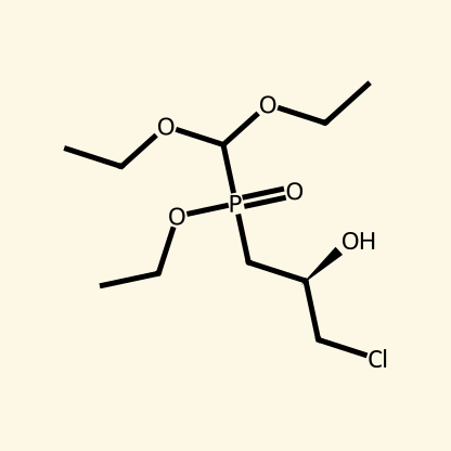 CCOC(OCC)P(=O)(C[C@@H](O)CCl)OCC